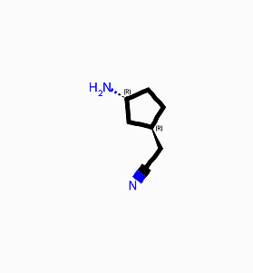 N#CC[C@@H]1CC[C@@H](N)C1